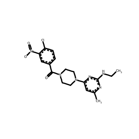 CCNc1nc(C)cc(N2CCN(C(=O)c3ccc(Cl)c([N+](=O)[O-])c3)CC2)n1